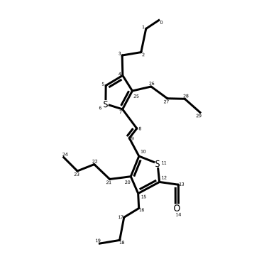 CCCCc1csc(C=Cc2sc(C=O)c(CCCC)c2CCCC)c1CCCC